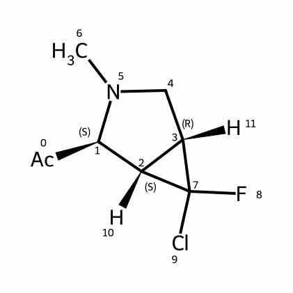 CC(=O)[C@@H]1[C@@H]2[C@H](CN1C)C2(F)Cl